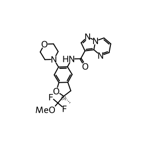 COC(F)(F)[C@]1(C)Cc2cc(NC(=O)c3cnn4cccnc34)c(N3CCOCC3)cc2O1